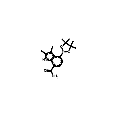 Cc1[nH]c2c(C(N)=O)ccc(B3OC(C)(C)C(C)(C)O3)c2c1C